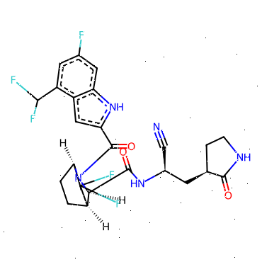 N#C[C@@H](C[C@H]1CCNC1=O)NC(=O)[C@H]1[C@H]2CC[C@H](CC2(F)F)N1C(=O)c1cc2c(C(F)F)cc(F)cc2[nH]1